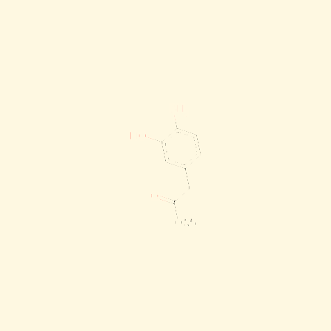 Bc1ccc(CC(=O)OC)cc1O